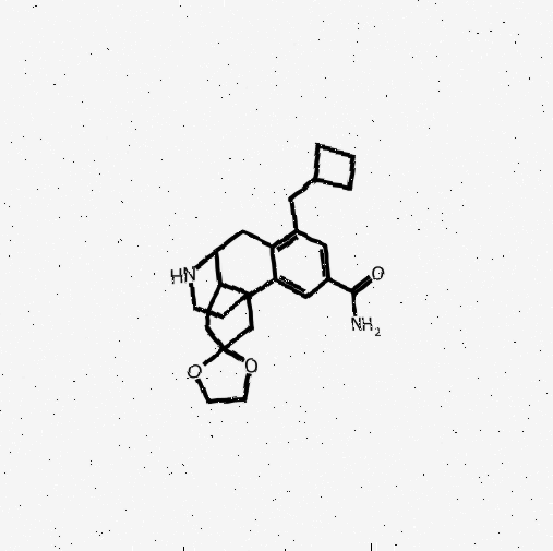 NC(=O)c1cc(CC2CCC2)c2c(c1)C13CCNC(C2)C1CCC1(C3)OCCO1